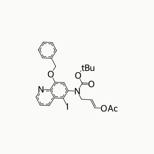 CC(=O)OC=CCN(C(=O)OC(C)(C)C)c1cc(OCc2ccccc2)c2ncccc2c1I